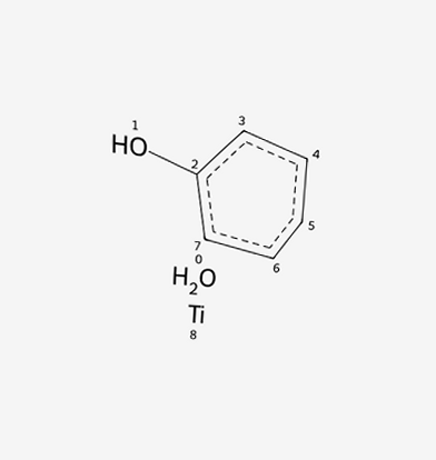 O.Oc1ccccc1.[Ti]